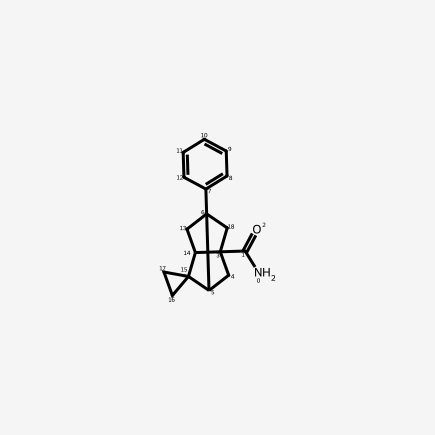 NC(=O)C12CC3C(c4ccccc4)(CC1C31CC1)C2